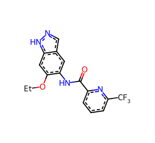 CCOc1cc2[nH]ncc2cc1NC(=O)c1cccc(C(F)(F)F)n1